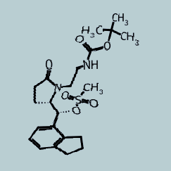 CC(C)(C)OC(=O)NCCN1C(=O)CC[C@H]1[C@H](OS(C)(=O)=O)c1cccc2c1CCC2